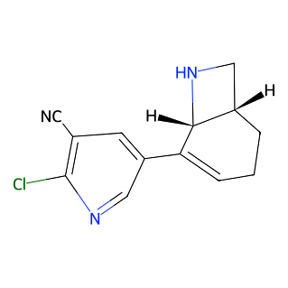 N#Cc1cc(C2=CCC[C@H]3CN[C@@H]23)cnc1Cl